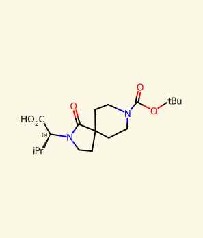 CC(C)[C@@H](C(=O)O)N1CCC2(CCN(C(=O)OC(C)(C)C)CC2)C1=O